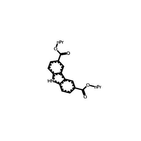 CCCOC(=O)c1ccc2[nH]c3ccc(C(=O)OCCC)cc3c2c1